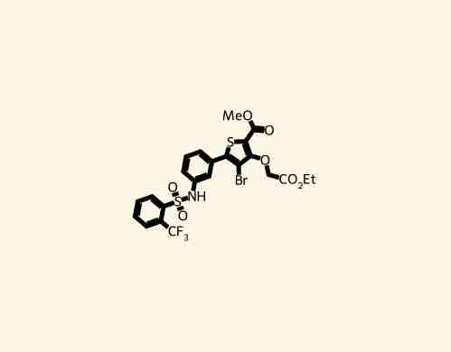 CCOC(=O)COc1c(C(=O)OC)sc(-c2cccc(NS(=O)(=O)c3ccccc3C(F)(F)F)c2)c1Br